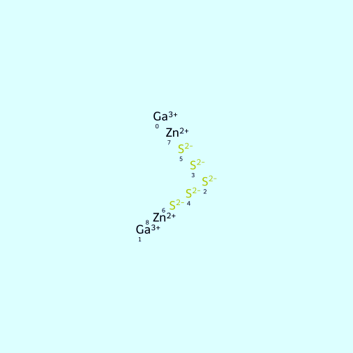 [Ga+3].[Ga+3].[S-2].[S-2].[S-2].[S-2].[S-2].[Zn+2].[Zn+2]